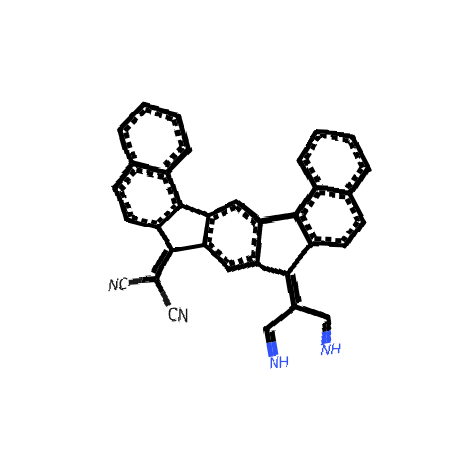 N#CC(C#N)=C1c2cc3c(cc2-c2c1ccc1ccccc21)-c1c(ccc2ccccc12)C3=C(C=N)C=N